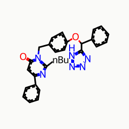 CCCCc1nc(-c2ccccc2)cc(=O)n1Cc1ccc(OC(c2ccccc2)c2nnn[nH]2)cc1